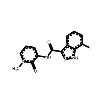 Cn1cccc(NC(=O)c2n[nH]c3c(F)cccc23)c1=O